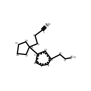 N#CCCC1(c2cccc(CCF)c2)CCCC1